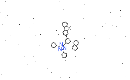 CC1(C)c2ccccc2-c2ccc(-c3cc(-c4nc(-c5ccccc5)nc(-c5ccccc5)n4)cc(-c4cccc5ccccc45)c3)cc21